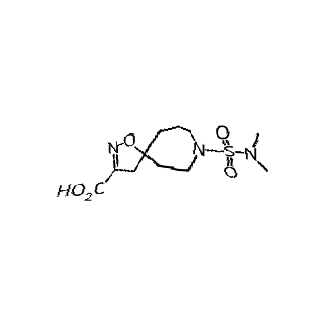 CN(C)S(=O)(=O)N1CCC2(CC1)CC(C(=O)O)=NO2